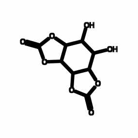 O=C1OC2C(O)C(O)C3OC(=O)OC3C2O1